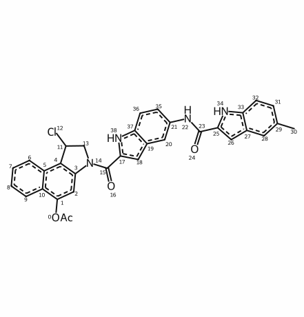 CC(=O)Oc1cc2c(c3ccccc13)C(Cl)CN2C(=O)c1cc2cc(NC(=O)c3cc4cc(C)ccc4[nH]3)ccc2[nH]1